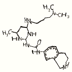 CC1CC(NCCCN(C)C)NC(NC(=O)Nc2ccc3c(c2)CNCC3)N1